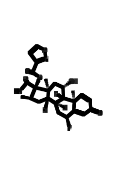 C[C@@H]1C[C@H]2[C@@H]3C[C@H](F)C4=CC(=O)C=C[C@]4(C)[C@@]3(F)[C@@H](O)C[C@]2(C)[C@@]1(OC(=O)c1ccon1)C(=O)S